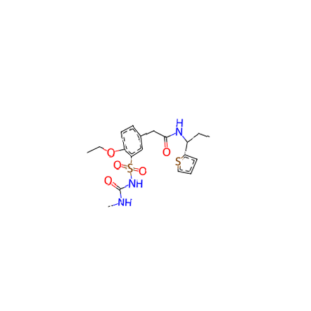 CCOc1ccc(CC(=O)NC(CC)c2cccs2)cc1S(=O)(=O)NC(=O)NC